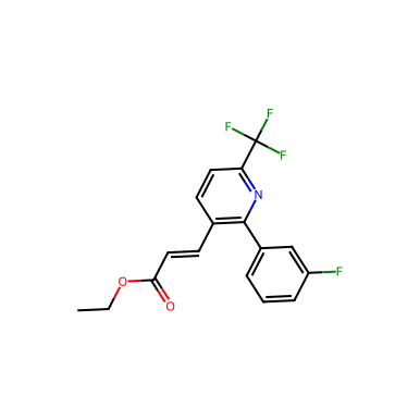 CCOC(=O)/C=C/c1ccc(C(F)(F)F)nc1-c1cccc(F)c1